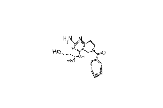 CCCC[C@@H](CCO)Nc1nc(N)nc2c1CN(C(=O)c1ccccc1)CC2